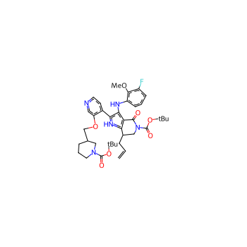 C=CCC1CN(C(=O)OC(C)(C)C)C(=O)c2c1[nH]c(-c1ccncc1OCC1CCCN(C(=O)OC(C)(C)C)C1)c2Nc1cccc(F)c1OC